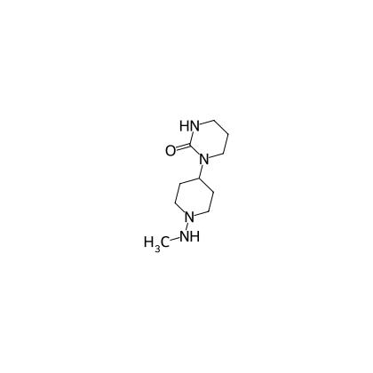 CNN1CCC(N2CCCNC2=O)CC1